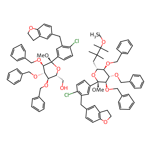 CO[C@@]1(c2ccc(Cl)c(Cc3ccc4c(c3)CCO4)c2)O[C@H](CC(C)(C)C(C)(C)O[SiH3])[C@@H](OCc2ccccc2)[C@H](OCc2ccccc2)[C@H]1OCc1ccccc1.CO[C@@]1(c2ccc(Cl)c(Cc3ccc4c(c3)CCO4)c2)O[C@H](CO)[C@@H](OCc2ccccc2)[C@H](OCc2ccccc2)[C@H]1OCc1ccccc1